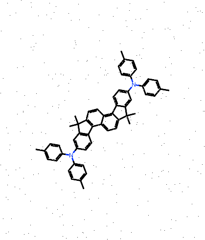 Cc1ccc(N(c2ccc(C)cc2)c2ccc3c(c2)C(C)(C)c2ccc4c5c(ccc4c2-3)C(C)(C)c2cc(N(c3ccc(C)cc3)c3ccc(C)cc3)ccc2-5)cc1